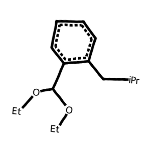 CCOC(OCC)c1ccccc1CC(C)C